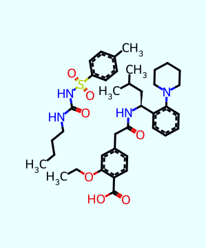 CCCCNC(=O)NS(=O)(=O)c1ccc(C)cc1.CCOc1cc(CC(=O)N[C@@H](CC(C)C)c2ccccc2N2CCCCC2)ccc1C(=O)O